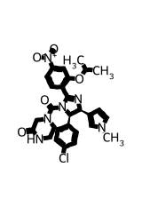 CC(C)Oc1cc([N+](=O)[O-])ccc1C1=N[C@@H](c2ccn(C)c2)[C@@H](c2ccc(Cl)cc2)N1C(=O)N1CCNC(=O)C1